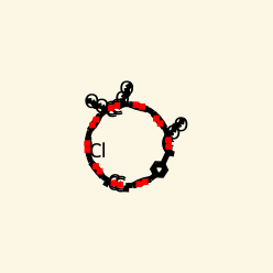 COCOC12CCC(C)(CC1)c1ccc(cc1)-c1ccc(cc1)C1(C)CCC(C)(CC1)c1ccc(cc1)-c1ccc(cc1Cl)-c1ccc(cc1)C1(OCOC)CCC(OCOC)(CC1)c1ccc(cc1)-c1ccc2cc1